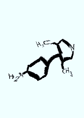 Cc1cncc(C)c1-c1ccc(N)cc1